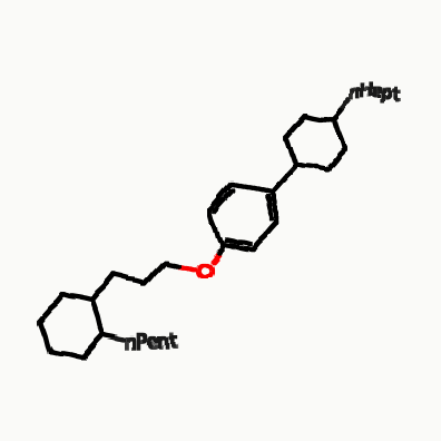 CCCCCCCC1CCC(c2ccc(OCCCC3CCCCC3CCCCC)cc2)CC1